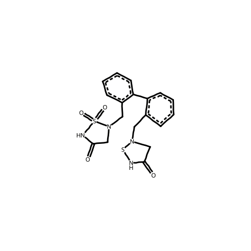 O=C1CN(Cc2ccccc2-c2ccccc2CN2CC(=O)NS2(=O)=O)SN1